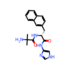 CC(C)(N)C(=O)N[C@H](Cc1ccc2ccccc2c1)C(=O)Nc1c[nH]cn1